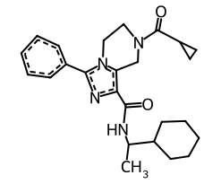 CC(NC(=O)c1nc(-c2ccccc2)n2c1CN(C(=O)C1CC1)CC2)C1CCCCC1